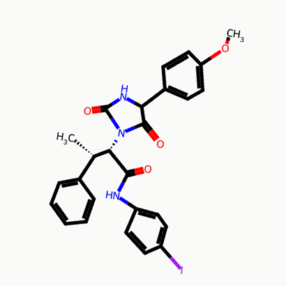 COc1ccc(C2NC(=O)N([C@H](C(=O)Nc3ccc(I)cc3)[C@@H](C)c3ccccc3)C2=O)cc1